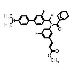 COC(=O)/C=C/c1cc(F)cc(N(C(=O)C2CC3CCC2C3)C(F)c2ccc(-c3ccc(N(C)C)cc3)cc2F)c1